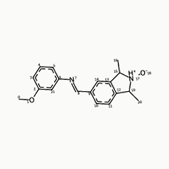 COc1cccc(N=Cc2ccc3c(c2)C(C)[NH+]([O-])C3C)c1